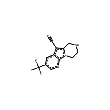 N#Cc1c2n(c3ncc(C(F)(F)F)cc13)CCNC2